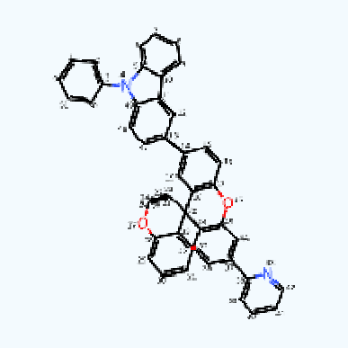 c1ccc(-n2c3ccccc3c3cc(-c4ccc5c(c4)C4(c6ccccc6Oc6ccccc64)c4ccc(-c6ccccn6)cc4O5)ccc32)cc1